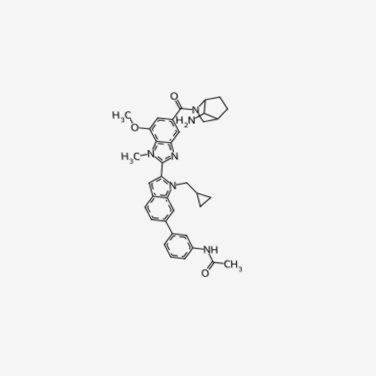 COc1cc(C(=O)N2CC3CCC2C3N)cc2nc(-c3cc4ccc(-c5cccc(NC(C)=O)c5)cc4n3CC3CC3)n(C)c12